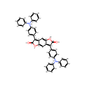 O=C1Oc2cc3c(cc2=C1c1ccc(N(c2ccccc2)c2ccccc2)cc1)OC(=O)C=3c1ccc(N(c2ccccc2)c2ccccc2)cc1